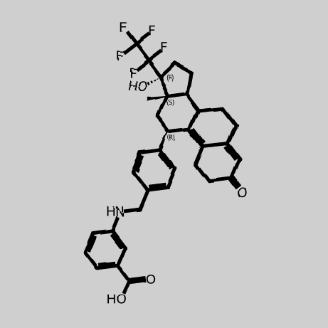 C[C@]12C[C@H](c3ccc(CNc4cccc(C(=O)O)c4)cc3)C3=C4CCC(=O)C=C4CCC3C1CC[C@]2(O)C(F)(F)C(F)(F)F